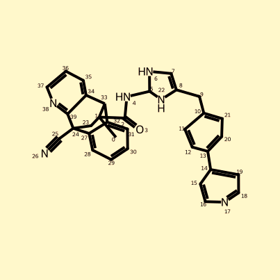 CC1(C(=O)NC2NC=C(Cc3ccc(-c4ccncc4)cc3)N2)CC2(C#N)c3ccccc3C1c1cccnc12